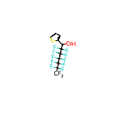 OC(c1cccs1)C(F)(F)C(F)(F)C(F)(F)C(F)(F)C(F)(F)C(F)(F)F